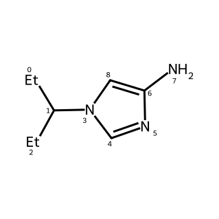 CCC(CC)n1cnc(N)c1